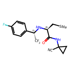 CSC[C@H](N[C@@H](c1ccc(F)cc1)C(F)(F)F)C(=O)NC1(C#N)CC1